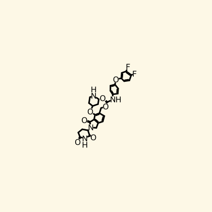 O=C1CCC(N2Cc3ccc(COC(=O)Nc4ccc(Oc5ccc(F)c(F)c5)cc4)c(OC4CCNCC4)c3C2=O)C(=O)N1